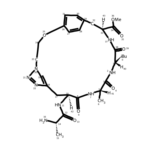 CC[C@H](C)[C@@H]1NC(=O)[C@H](C)NC(=O)[C@@H](NC(=O)[C@H](C)N)Cc2cn(nn2)CCOc2ccc(cc2)C[C@@H](C(=O)OC)NC1=O